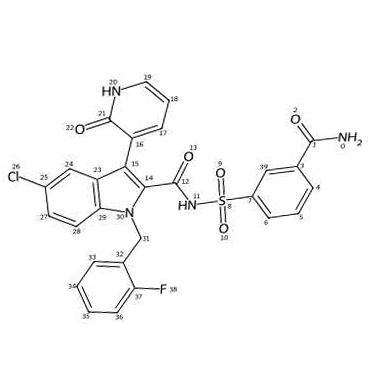 NC(=O)c1cccc(S(=O)(=O)NC(=O)c2c(-c3ccc[nH]c3=O)c3cc(Cl)ccc3n2Cc2ccccc2F)c1